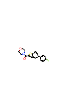 O=C(c1cc2cc(-c3ccc(F)cc3)ccc2s1)N1CCOCC1